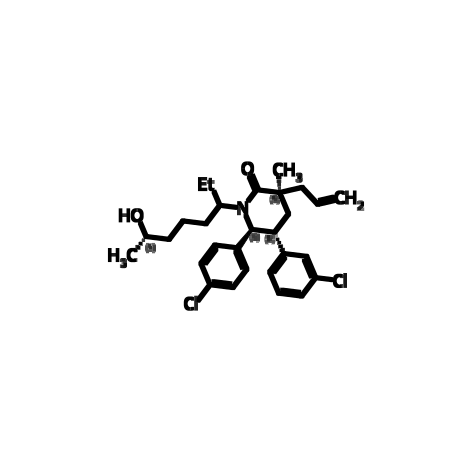 C=CC[C@@]1(C)C[C@H](c2cccc(Cl)c2)[C@@H](c2ccc(Cl)cc2)N(C(CC)CCC[C@H](C)O)C1=O